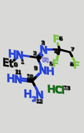 CCN/C(=N/C(F)(F)CF)NC(=N)N.Cl